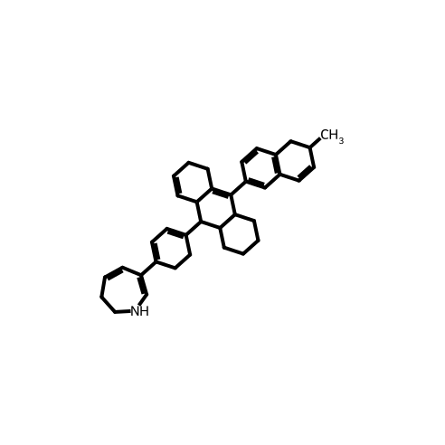 CC1C=Cc2cc(C3=C4CCC=CC4C(C4=CC=C(C5=CNCCC=C5)CC4)C4CCCCC34)ccc2C1